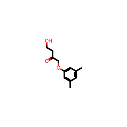 Cc1cc(C)cc(OCC(=O)CCO)c1